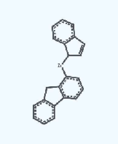 C1=C[CH]([Zr][c]2cccc3c2Cc2ccccc2-3)c2ccccc21